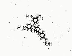 Cc1ccc(N(c2ccc(-c3ccc(CCO)cc3)cc2)c2ccc(C)c(C)c2)c(C)c1